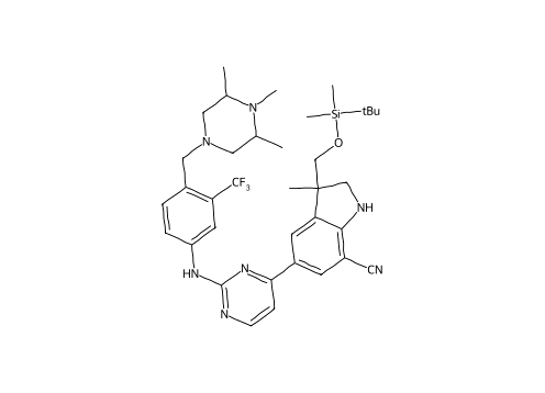 CC1CN(Cc2ccc(Nc3nccc(-c4cc(C#N)c5c(c4)C(C)(CO[Si](C)(C)C(C)(C)C)CN5)n3)cc2C(F)(F)F)CC(C)N1C